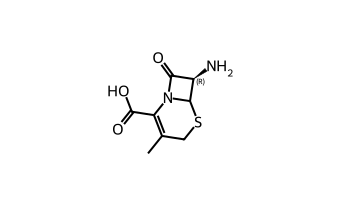 CC1=C(C(=O)O)N2C(=O)[C@@H](N)C2SC1